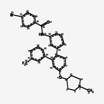 CN1CCC(Oc2ccc(-c3cccc(NC(=O)c4ccc(Br)cc4)c3)c(-c3cccc(C(F)(F)F)c3)c2)CC1